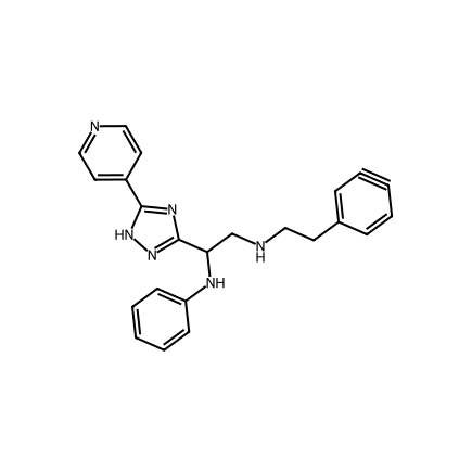 c1ccc(CCNCC(Nc2ccccc2)c2n[nH]c(-c3ccncc3)n2)cc#1